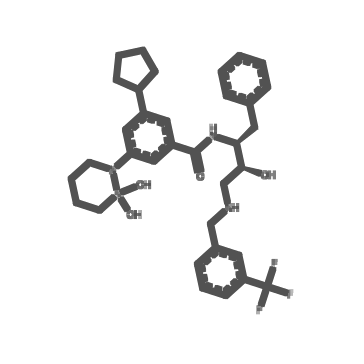 O=C(N[C@@H](Cc1ccccc1)[C@@H](O)CNCc1cccc(C(F)(F)F)c1)c1cc(C2CCCC2)cc(N2CCCCS2(O)O)c1